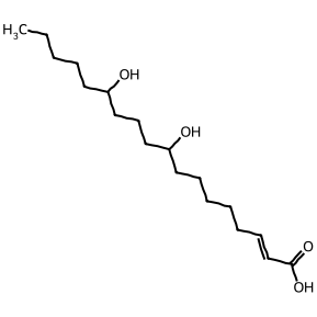 CCCCCC(O)CCCC(O)CCCCCC=CC(=O)O